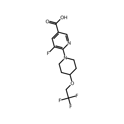 O=C(O)c1cnc(N2CCC(OCC(F)(F)F)CC2)c(F)c1